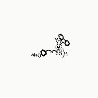 COc1ccc(CSC[C@@H](NC(=O)OC(C)C2c3ccccc3-c3ccccc32)C(=O)O)cc1